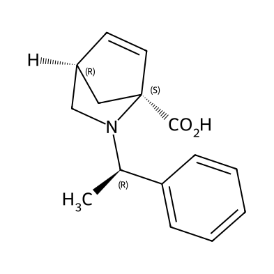 C[C@H](c1ccccc1)N1C[C@H]2C=C[C@]1(C(=O)O)C2